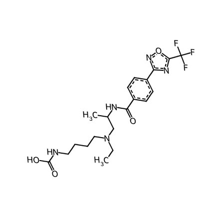 CCN(CCCCNC(=O)O)CC(C)NC(=O)c1ccc(-c2noc(C(F)(F)F)n2)cc1